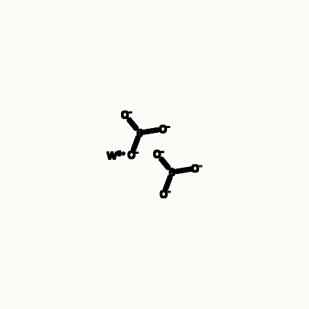 [O-]B([O-])[O-].[O-]B([O-])[O-].[W+6]